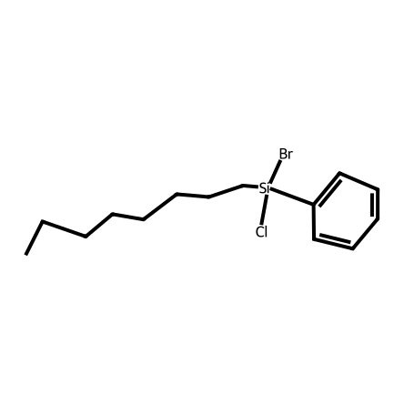 CCCCCCCC[Si](Cl)(Br)c1ccccc1